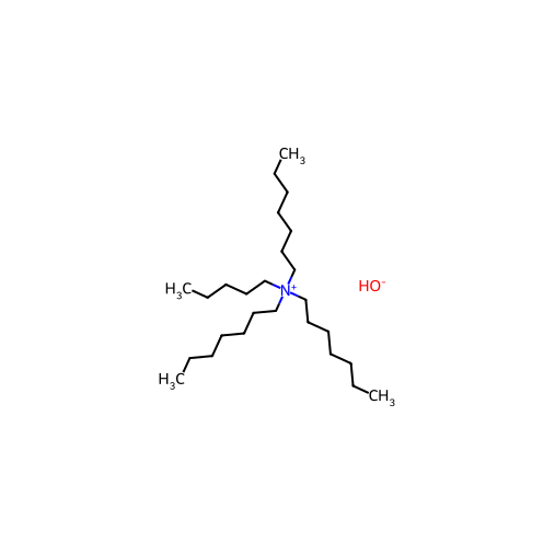 CCCCCCC[N+](CCCCC)(CCCCCCC)CCCCCCC.[OH-]